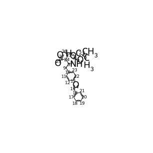 CC(C)(C)OC(=O)N[C@@H](Cc1ccc(OCc2ccccc2)cc1)C1CCOC1=O